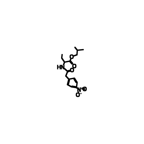 CCC(NC(=O)Cc1ccc([N+](=O)[O-])cc1)C(=O)OCC(C)C